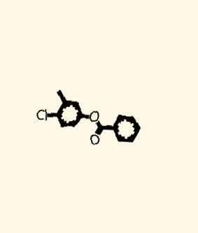 Cc1cc(OC(=O)c2ccccc2)ccc1Cl